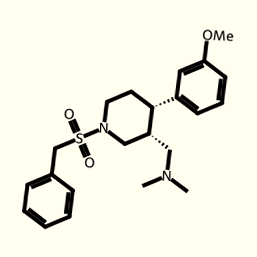 COc1cccc([C@H]2CCN(S(=O)(=O)Cc3ccccc3)C[C@H]2CN(C)C)c1